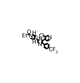 CCC(=O)N1C[C@H]2C[C@@H]1CN2c1cnc(-c2ccc(C(F)(F)F)cc2)c(-c2ccncc2Cl)n1